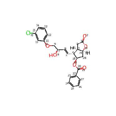 O=C1C[C@@H]2[C@@H](C=C[C@@H](O)COc3cccc(Cl)c3)[C@H](OC(=O)c3ccccc3)C[C@@H]2O1